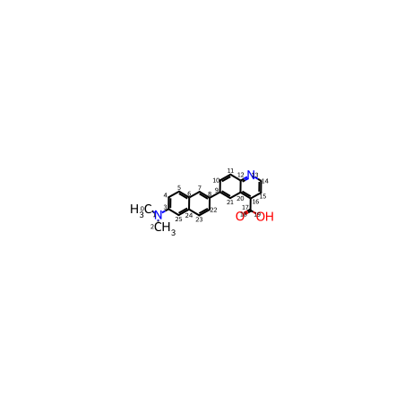 CN(C)c1ccc2cc(-c3ccc4nccc(C(=O)O)c4c3)ccc2c1